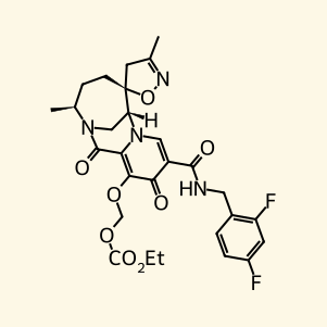 CCOC(=O)OCOc1c2n(cc(C(=O)NCc3ccc(F)cc3F)c1=O)[C@@H]1CN(C2=O)[C@@H](C)CC[C@]12CC(C)=NO2